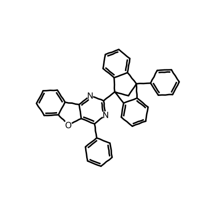 c1ccc(-c2nc(C34CC(c5ccccc5)(c5ccccc53)c3ccccc34)nc3c2oc2ccccc23)cc1